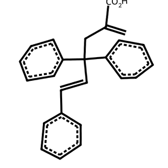 C=C(CC(C=Cc1ccccc1)(c1ccccc1)c1ccccc1)C(=O)O